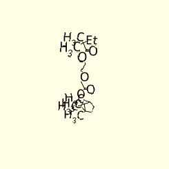 CCC(C)(C)C(=O)OCCOCC(=O)OC1C2CCC(C)(C1C)C2(C)C